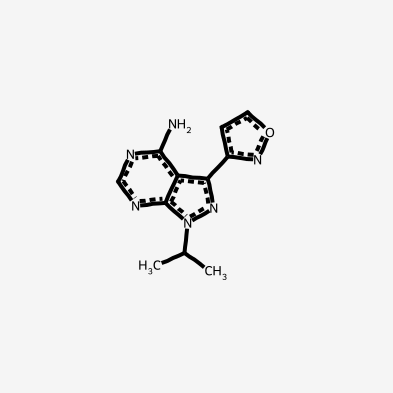 CC(C)n1nc(-c2ccon2)c2c(N)ncnc21